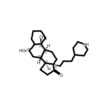 C[C@]12CCCCC1[C@@H](O)C[C@H]1[C@@H]3CCC(=O)[C@@]3(CCCC3CCNCC3)CC[C@@H]12